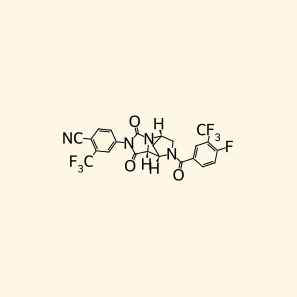 N#Cc1ccc(N2C(=O)[C@H]3[C@@H]4C[C@@H](CN4C(=O)c4ccc(F)c(C(F)(F)F)c4)N3C2=O)cc1C(F)(F)F